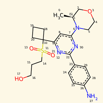 C[C@H]1COCCN1c1cc(C2(S(=O)(=O)CCCO)CCC2)nc(-c2ccc(N)cc2)n1